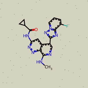 CNc1ncc(-c2nc3c(F)cccn3n2)c2cc(NC(=O)C3CC3)nnc12